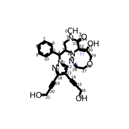 CN1CC(C(c2ccccc2)n2cc(C#CCO)c(C#CCO)n2)N2/N=C\COC/C(O)=C\2C1=O